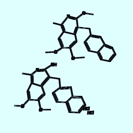 COc1cc2c(C)nc(O)c(Cc3ccc4ccccc4c3)c2cc1OC.COc1cc2c(C)nc(OC)c(Cc3ccc4ccccc4c3)c2cc1OC.Cl.Cl